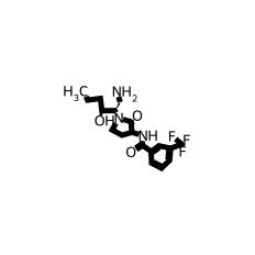 CCC[C@H](O)[C@H](CN)N1CCC(NC(=O)c2cccc(C(F)(F)F)c2)C1=O